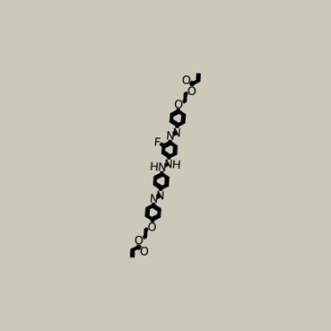 C=CC(=O)OCCOc1ccc(/N=N/c2ccc(NNc3ccc(/N=N/c4ccc(OCCOC(=O)C=C)cc4)c(F)c3)cc2)cc1